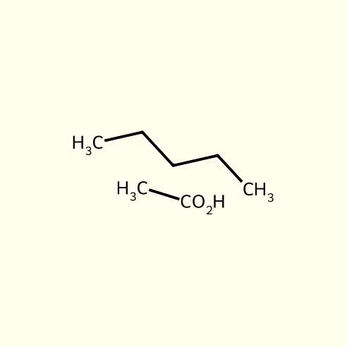 CC(=O)O.CCCCC